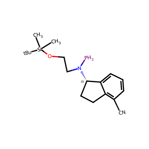 CC(C)(C)[Si](C)(C)OCCN(P)[C@H]1CCc2c(C#N)cccc21